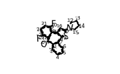 O=c1c2ccccc2c2sc(N3CCCC3)cc2c2c(F)ccc(F)c12